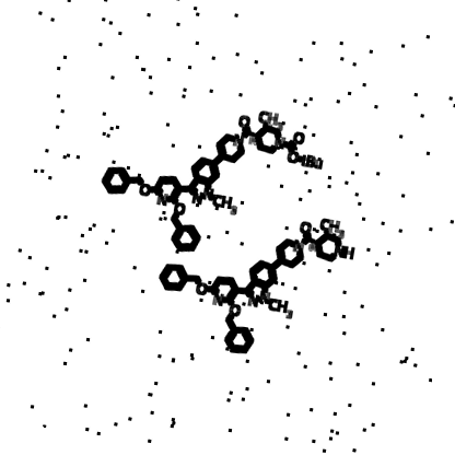 C[C@H]1CN(C(=O)OC(C)(C)C)CC[C@H]1C(=O)N1CC=C(c2ccc3c(-c4ccc(OCc5ccccc5)nc4OCc4ccccc4)nn(C)c3c2)CC1.C[C@H]1CNCC[C@H]1C(=O)N1CC=C(c2ccc3c(-c4ccc(OCc5ccccc5)nc4OCc4ccccc4)nn(C)c3c2)CC1